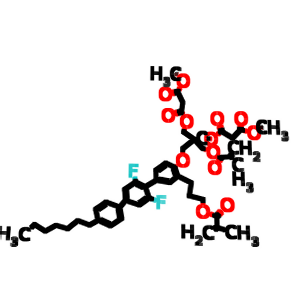 C=C(C)C(=O)OCCCc1cc(-c2c(F)cc(-c3ccc(CCCCCCC)cc3)cc2F)ccc1OCC(COC(=O)CC(=O)OC)(COC(=O)CC(=O)OC)COC(=O)C(=C)C